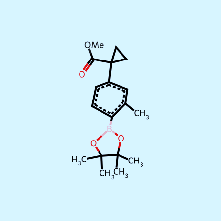 COC(=O)C1(c2ccc(B3OC(C)(C)C(C)(C)O3)c(C)c2)CC1